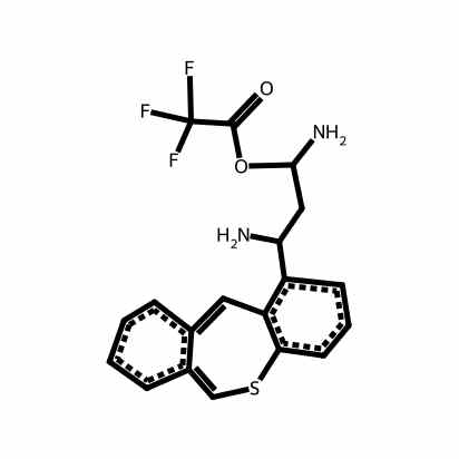 NC(CC(N)c1cccc2c1C=c1ccccc1=CS2)OC(=O)C(F)(F)F